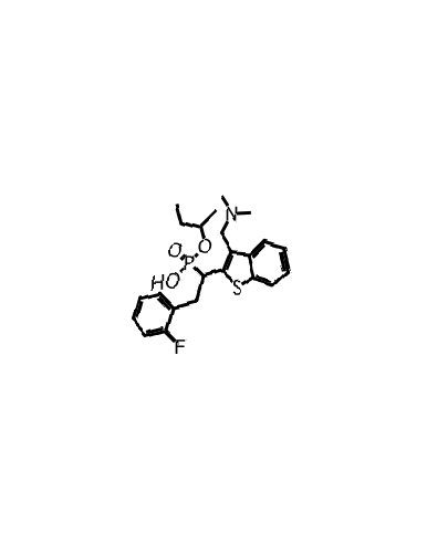 CCC(C)OP(=O)(O)C(Cc1ccccc1F)c1sc2ccccc2c1CN(C)C